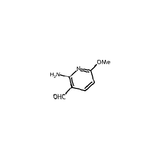 COc1ccc(C=O)c(N)n1